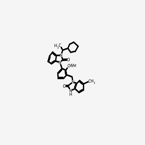 COc1c(Cn2c(=O)[nH]c3ccc(C)cc32)cccc1-n1c(=O)n(C(C)C2CCCCC2)c2ccccc21